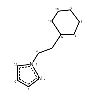 c1cnn(CCC2CCCCC2)c1